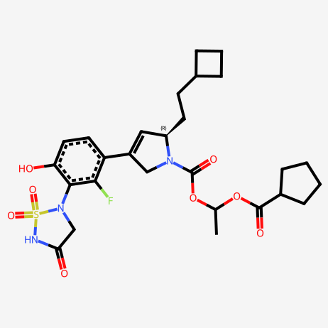 CC(OC(=O)C1CCCC1)OC(=O)N1CC(c2ccc(O)c(N3CC(=O)NS3(=O)=O)c2F)=C[C@H]1CCC1CCC1